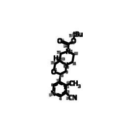 Cc1c(C#N)cncc1[C@@H]1CN2CCN(C(=O)OC(C)(C)C)C[C@H]2CO1